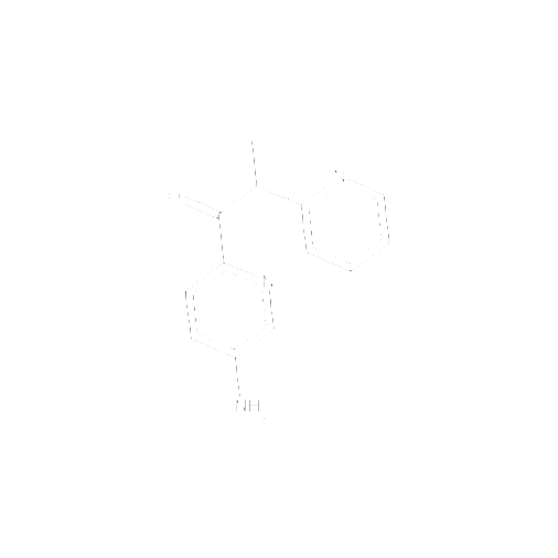 CC(C(=O)c1ccc(N)cn1)c1ccccn1